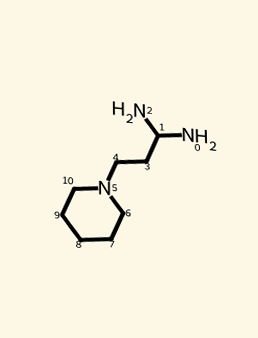 NC(N)CCN1CCCCC1